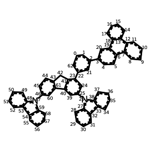 c1cc(-c2ccc3c4ccccc4c4ccccc4c3c2)cc(-c2cc(-n3c4ccccc4c4ccccc43)cc3c2Cc2ccc(-n4c5ccccc5c5ccccc54)cc2-3)c1